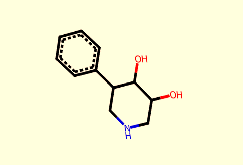 OC1CNCC(c2ccccc2)C1O